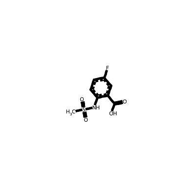 CS(=O)(=O)Nc1ccc(F)cc1C(=O)O